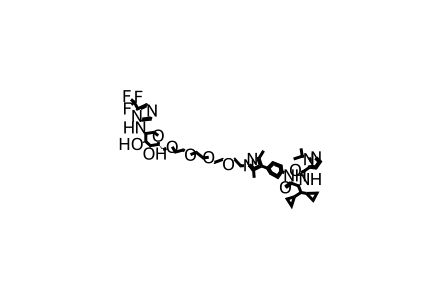 Cc1nn(CCOCCOCCOCCOC[C@H]2OC[C@H](Nc3cncc(C(F)(F)F)n3)[C@@H](O)[C@H]2O)c(C)c1-c1ccc(NC(=O)[C@@H](NC(=O)c2ccnn2C(C)C)C(C2CC2)C2CC2)cc1